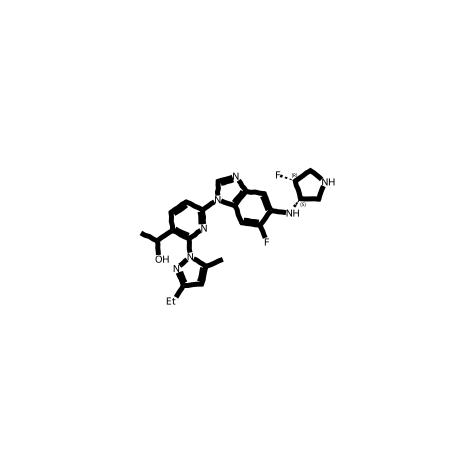 CCc1cc(C)n(-c2nc(-n3cnc4cc(N[C@H]5CNC[C@H]5F)c(F)cc43)ccc2C(C)O)n1